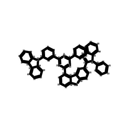 c1ccc(-c2nc(-c3cccc(-n4c5ccccc5c5ccccc54)c3)nc(-c3cccc4sc5ccc(-c6nc7ccccc7n6-c6ccccc6)cc5c34)n2)cc1